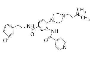 CN(C)CCN1CCN(c2ccc(C(=O)NCCc3cccc(Cl)c3)cc2NC(=O)c2ccncc2)CC1